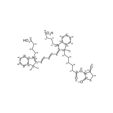 CC1(C)C(/C=C/C=C/C=C2\N(CCCS(=O)(=O)O)c3ccccc3C2(C)CCCCCC(=O)ON2C(=O)CCC2=O)=[N+](CCCS(=O)(=O)O)c2ccccc21